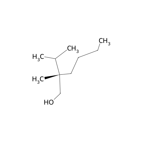 CCCC[C@](C)(CO)C(C)C